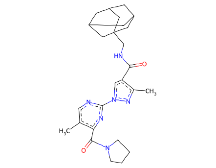 Cc1cnc(-n2cc(C(=O)NCC34CC5CC(CC(C5)C3)C4)c(C)n2)nc1C(=O)N1CCCC1